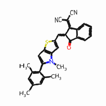 Cc1cc(C)c(-c2cc3sc(/C=C4\C(=O)c5ccccc5C4=C(C#N)C#N)cc3n2C)c(C)c1